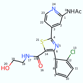 CC(=O)Nc1cc(-c2nc(-c3ccccc3Cl)c(C(=O)NCCO)s2)ccn1